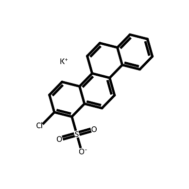 O=S(=O)([O-])c1c(Cl)ccc2c1ccc1c3ccccc3ccc21.[K+]